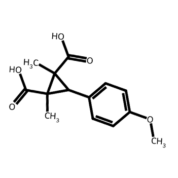 COc1ccc(C2C(C)(C(=O)O)C2(C)C(=O)O)cc1